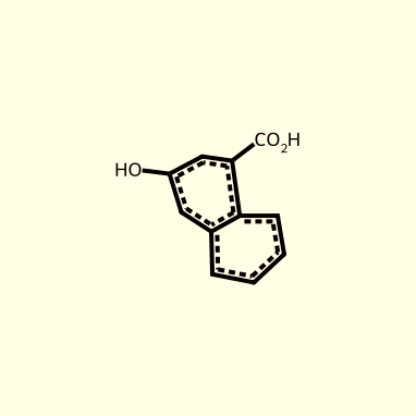 O=C(O)c1cc(O)cc2ccccc12